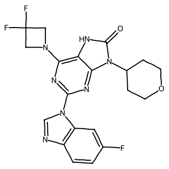 O=c1[nH]c2c(N3CC(F)(F)C3)nc(-n3cnc4ccc(F)cc43)nc2n1C1CCOCC1